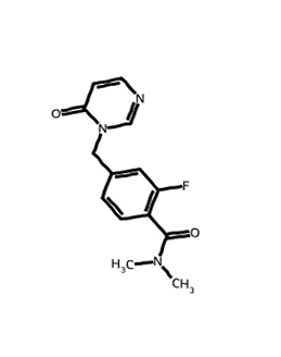 CN(C)C(=O)c1ccc(Cn2cnccc2=O)cc1F